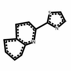 [c]1csc(-c2ccc3ccccc3n2)n1